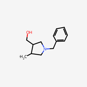 [CH2]C1CN(Cc2ccccc2)CC1CO